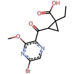 CCC1(C(=O)O)CC1C(=O)c1ncc(Br)nc1OC